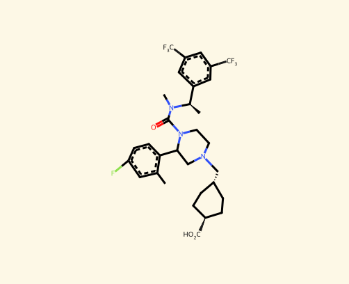 Cc1cc(F)ccc1C1CN(C[C@H]2CC[C@H](C(=O)O)CC2)CCN1C(=O)N(C)[C@H](C)c1cc(C(F)(F)F)cc(C(F)(F)F)c1